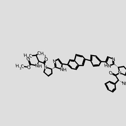 COC(=O)N[C@H](C(=O)N1CCC[C@H]1c1ncc(-c2ccc3cc(-c4ccc(-c5cnc([C@@H]6CCCN6C(=O)[C@H](N)c6ccccc6)[nH]5)cc4)ccc3c2)[nH]1)C(C)C